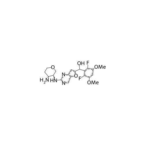 COc1cc(OC)c(F)c(C(O)c2cc3nc(N[C@@H]4COCC[C@@H]4N)ncc3o2)c1F